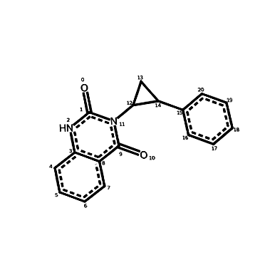 O=c1[nH]c2ccccc2c(=O)n1C1CC1c1ccccc1